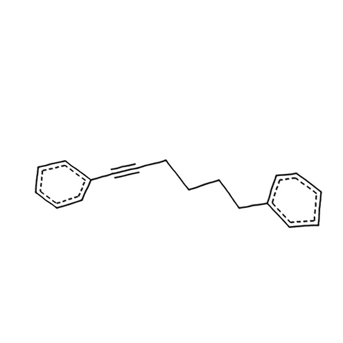 C(#Cc1ccccc1)CCCCc1ccccc1